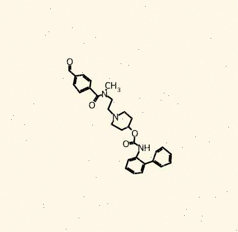 CN(CCN1CCC(OC(=O)Nc2ccccc2-c2ccccc2)CC1)C(=O)c1ccc(C=O)cc1